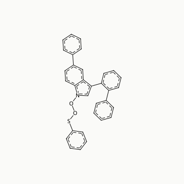 c1ccc(SOOn2cc(-c3ccccc3-c3ccccc3)c3cc(-c4ccccc4)ccc32)cc1